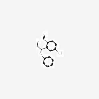 CCC(Oc1ccccc1)c1cc(Cl)ccc1C=O